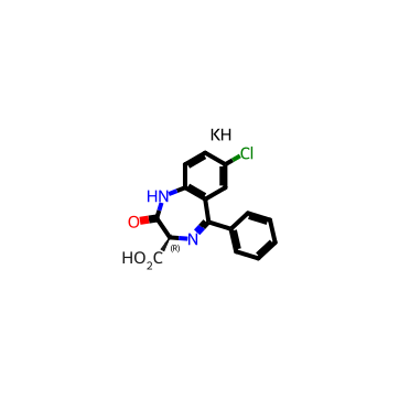 O=C(O)[C@@H]1N=C(c2ccccc2)c2cc(Cl)ccc2NC1=O.[KH]